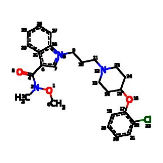 CON(C)C(=O)c1cn(CCCN2CCC(Oc3ccccc3Cl)CC2)c2ccccc12